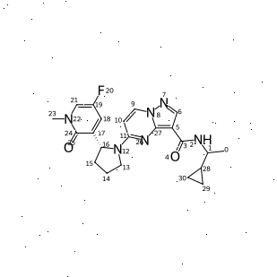 CC(NC(=O)c1cnn2ccc(N3CCC[C@@H]3c3cc(F)cn(C)c3=O)nc12)C1CC1